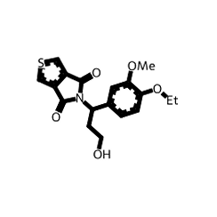 CCOc1ccc(C(CCO)N2C(=O)c3cscc3C2=O)cc1OC